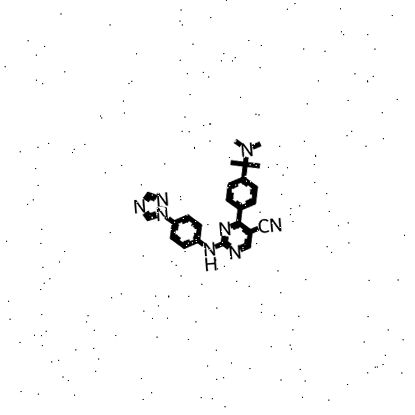 CN(C)C(C)(C)c1ccc(-c2nc(Nc3ccc(-n4cncn4)cc3)ncc2C#N)cc1